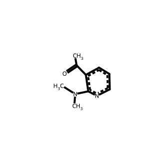 CC(=O)c1cccnc1N(C)C